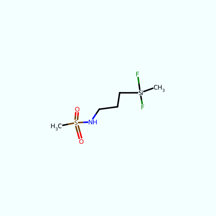 C[Si](F)(F)CCCNS(C)(=O)=O